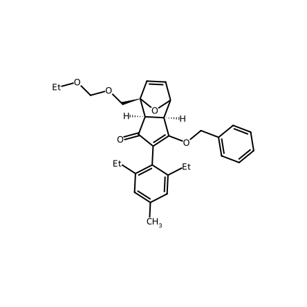 CCOCOC[C@@]12C=CC(O1)[C@H]1C(OCc3ccccc3)=C(c3c(CC)cc(C)cc3CC)C(=O)[C@H]12